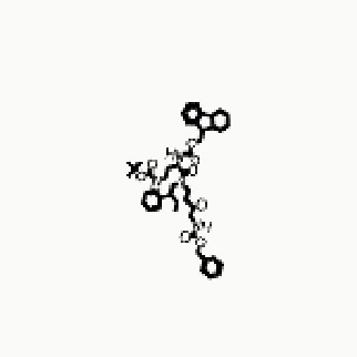 CCC(CN(CCC(=O)CNC(=O)OCc1ccccc1)C(=O)C(CCNC(=O)OC(C)(C)C)NC(=O)OCC1c2ccccc2-c2ccccc21)c1ccccc1